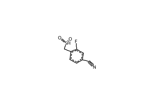 N#Cc1ccc(C[SH](=O)=O)c(F)c1